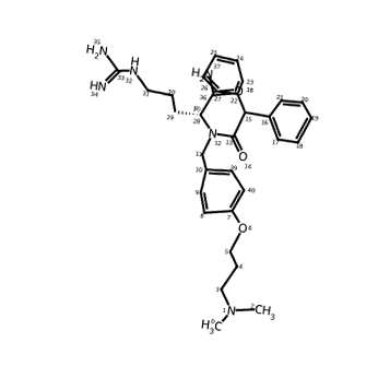 CN(C)CCCOc1ccc(CN(C(=O)C(c2ccccc2)c2ccccc2)[C@H](CCCNC(=N)N)C(N)=O)cc1